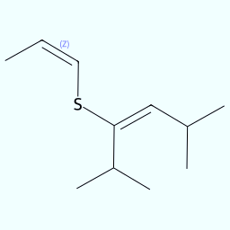 C/C=C\SC(=CC(C)C)C(C)C